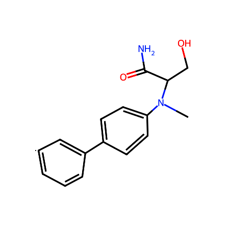 CN(c1ccc(-c2c[c]ccc2)cc1)C(CO)C(N)=O